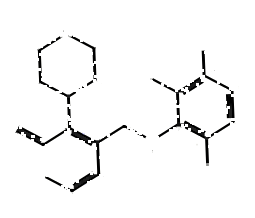 C=C/C(=C(\C=C/C)COc1c(F)ccc(F)c1Cl)C1CCNCC1